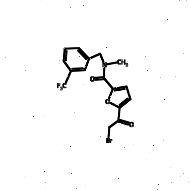 CN(Cc1cccc(C(F)(F)F)c1)C(=O)c1ccc(C(=O)CBr)o1